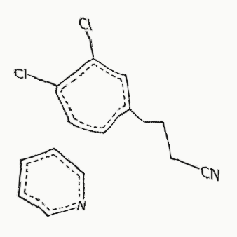 N#CCCc1ccc(Cl)c(Cl)c1.c1ccncc1